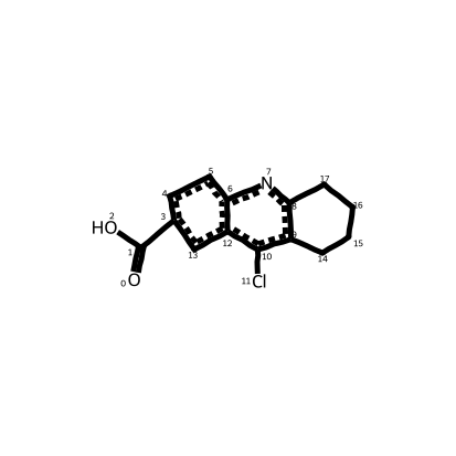 O=C(O)c1ccc2nc3c(c(Cl)c2c1)CCCC3